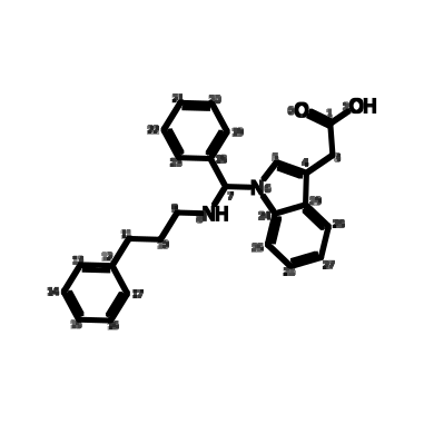 O=C(O)Cc1cn(C(NCCCc2ccccc2)c2ccccc2)c2ccccc12